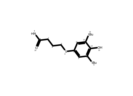 CC(C)(C)c1cc(SCCCC([NH])=O)cc(C(C)(C)C)c1O